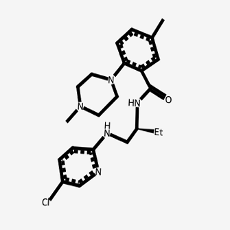 CC[C@@H](CNc1ccc(Cl)cn1)NC(=O)c1cc(C)ccc1N1CCN(C)CC1